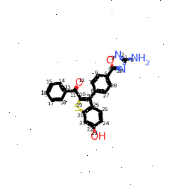 Nc1noc(-c2ccc(-c3c(C(=O)c4ccccc4)sc4cc(O)ccc34)cc2)n1